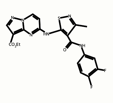 CCOC(=O)c1cnn2ccc(Nc3snc(C)c3C(=O)Nc3ccc(F)c(F)c3)nc12